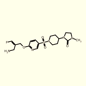 CN1CCN(C2CCN(S(=O)(=O)c3ccc(OC/C(=C/F)CN)nc3)CC2)C1=O